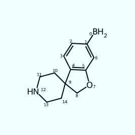 Bc1ccc2c(c1)OCC21CCNCC1